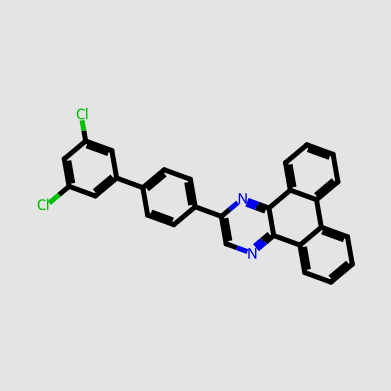 Clc1cc(Cl)cc(-c2ccc(-c3cnc4c5ccccc5c5ccccc5c4n3)cc2)c1